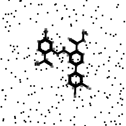 COC(=O)c1ccc(-c2ccc(F)c(F)c2)cc1NCc1cc(Br)ccc1C(=O)O